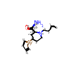 CCCCN1CCC([SH]2C=CC=C2)CC1C(N)=O